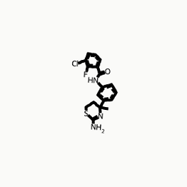 CC1(c2cccc(NC(=O)c3cccc(Cl)c3F)c2)CCSC(N)=N1